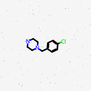 Clc1ccc(CN2CC[N]CC2)cc1